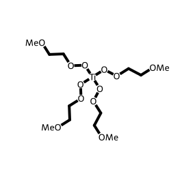 COCCO[O][Ti]([O]OCCOC)([O]OCCOC)[O]OCCOC